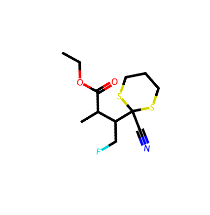 CCOC(=O)C(C)C(CF)C1(C#N)SCCCS1